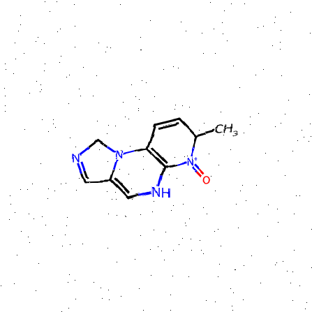 CC1C=CC2=C(NC=C3C=NCN32)[N+]1=O